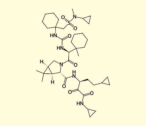 CN(C1CC1)S(=O)(=O)CC1(NC(=O)N[C@H](C(=O)N2C[C@H]3[C@@H]([C@H]2C(=O)N[C@@H](CCC2CC2)C(=O)C(=O)NC2CC2)C3(C)C)C2(C)CCCCC2)CCCCC1